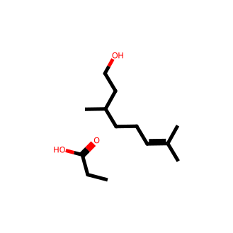 CC(C)=CCCC(C)CCO.CCC(=O)O